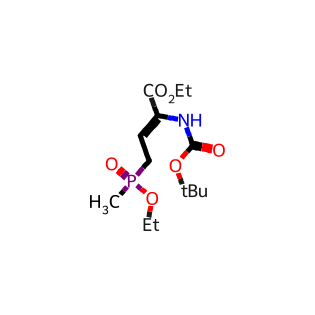 CCOC(=O)C(=CCP(C)(=O)OCC)NC(=O)OC(C)(C)C